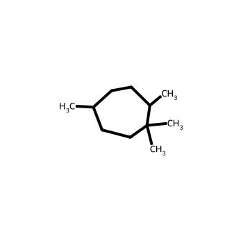 CC1C[CH]C(C)(C)C(C)CC1